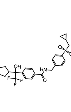 O=C(NCc1ccc(S(=O)(=O)CC2CC2)cc1)c1ccc(C(O)(C2CCCC2)C(F)(F)F)cc1